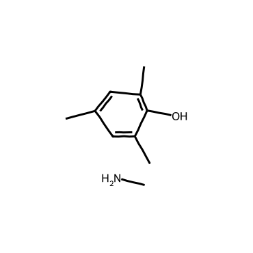 CN.Cc1cc(C)c(O)c(C)c1